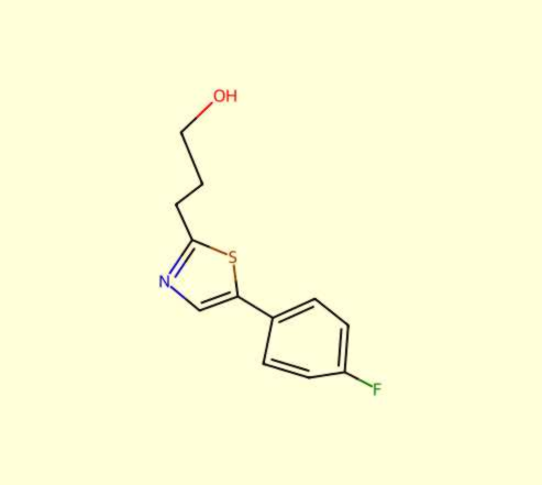 OCCCc1ncc(-c2ccc(F)cc2)s1